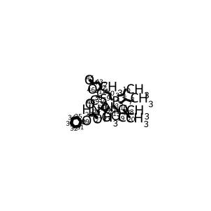 CCCCP(CCCC)(CCCC)=C(C(=O)OC(C)(C)C)N1C(=O)C(NC(=O)COc2ccccc2)C1SC(=C=O)[C@@H]1CCC(=O)O1